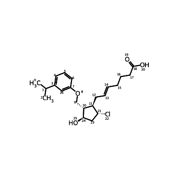 CC(C)c1cccc(OC[C@@H]2[C@@H](CC=CCCCC(=O)O)[C@H](Cl)C[C@H]2O)c1